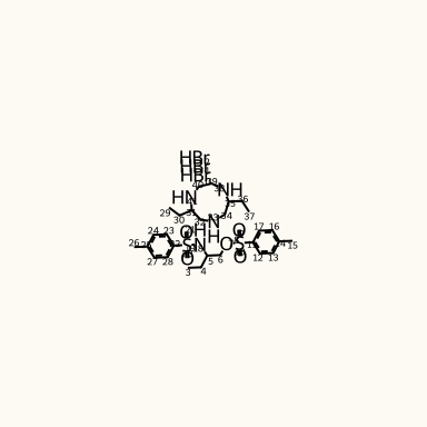 Br.Br.Br.CCC(COS(=O)(=O)c1ccc(C)cc1)NS(=O)(=O)c1ccc(C)cc1.CCC1CNCC(CC)NCCN1